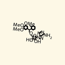 COc1cc(C(COC[C@H]2O[C@@H](n3cnc4c(N)ncnc43)[C@H](O)[C@@H]2O)c2ccccc2C)cc(OC)c1OC